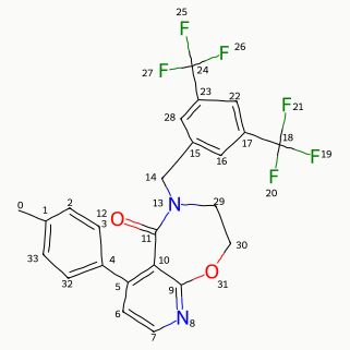 Cc1ccc(-c2ccnc3c2C(=O)N(Cc2cc(C(F)(F)F)cc(C(F)(F)F)c2)CCO3)cc1